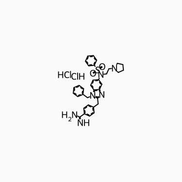 Cl.Cl.N=C(N)c1ccc(Cc2nc3cc(N(CCN4CCCC4)S(=O)(=O)c4ccccc4)ccc3n2Cc2ccccc2)cc1